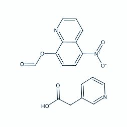 O=C(O)Cc1cccnc1.O=COc1ccc([N+](=O)[O-])c2cccnc12